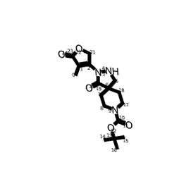 CC1=C(N2NCC3(CCN(C(=O)OC(C)(C)C)CC3)C2=O)COC1=O